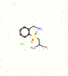 CC(C)CS(=O)(=O)c1ccccc1CN.Cl